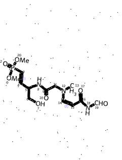 COP(=O)(/C=C/C(CO)NC(=O)CN(C)/C=C\C(=O)NC=O)OC